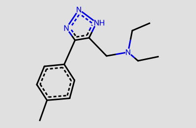 CCN(CC)Cc1[nH]nnc1-c1ccc(C)cc1